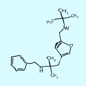 CC(C)(C)NCc1cc(CC(C)(C)NCc2ccccc2)co1